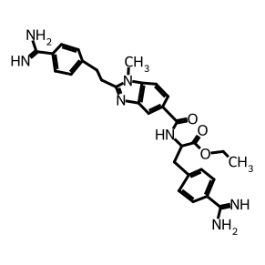 CCOC(=O)C(Cc1ccc(C(=N)N)cc1)NC(=O)c1ccc2c(c1)nc(CCc1ccc(C(=N)N)cc1)n2C